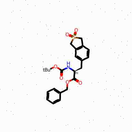 CC(C)(C)OC(=O)N[C@@H](Cc1ccc2c(c1)CS(=O)(=O)C2)C(=O)OCc1ccccc1